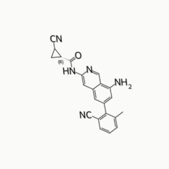 Cc1cccc(C#N)c1-c1cc(N)c2cnc(NC(=O)[C@@H]3CC3C#N)cc2c1